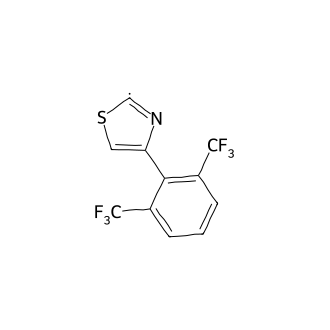 FC(F)(F)c1cccc(C(F)(F)F)c1-c1cs[c]n1